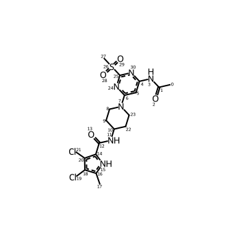 CC(=O)Nc1cc(N2CCC(NC(=O)c3[nH]c(C)c(Cl)c3Cl)CC2)nc(S(C)(=O)=O)n1